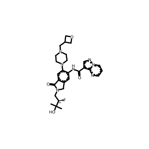 CC(C)(O)[C@H](F)CN1Cc2cc(NC(=O)c3cnn4cccnc34)c(N3CCN(CC4COC4)CC3)cc2C1=O